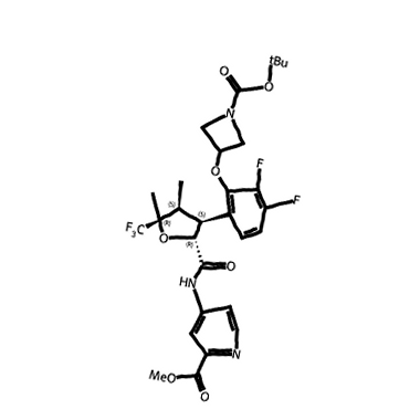 COC(=O)c1cc(NC(=O)[C@@H]2O[C@@](C)(C(F)(F)F)[C@@H](C)[C@H]2c2ccc(F)c(F)c2OC2CN(C(=O)OC(C)(C)C)C2)ccn1